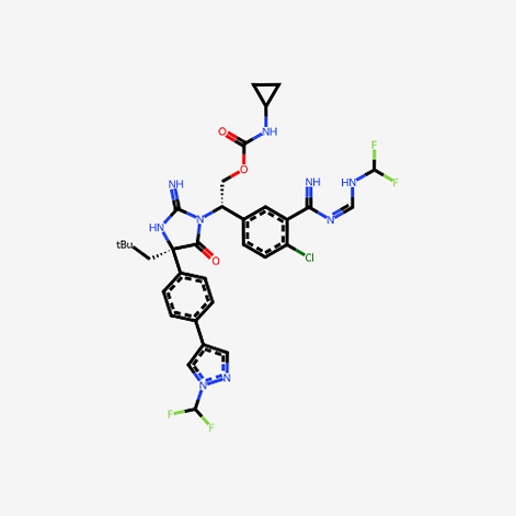 CC(C)(C)C[C@]1(c2ccc(-c3cnn(C(F)F)c3)cc2)NC(=N)N([C@H](COC(=O)NC2CC2)c2ccc(Cl)c(C(=N)/N=C\NC(F)F)c2)C1=O